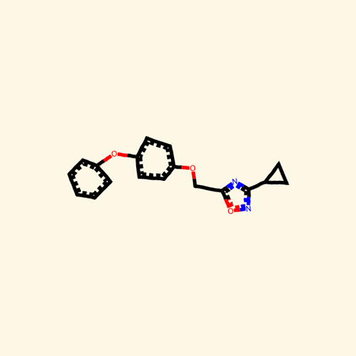 c1ccc(Oc2ccc(OCc3nc(C4CC4)no3)cc2)cc1